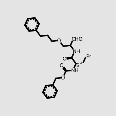 CC(C)C[C@H](NC(=O)OCc1ccccc1)C(=O)NC(C=O)COCCCc1ccccc1